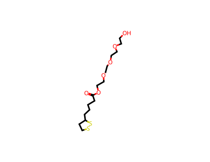 O=C(CCCCC1CCSS1)OCCOCCOCCOCCO